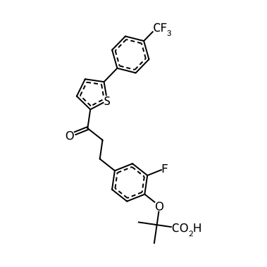 CC(C)(Oc1ccc(CCC(=O)c2ccc(-c3ccc(C(F)(F)F)cc3)s2)cc1F)C(=O)O